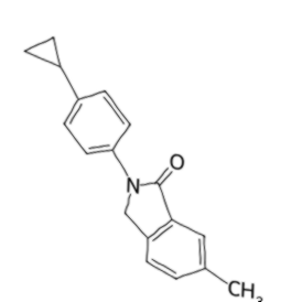 Cc1ccc2c(c1)C(=O)N(c1ccc(C3CC3)cc1)C2